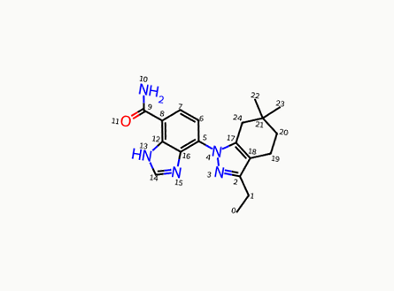 CCc1nn(-c2ccc(C(N)=O)c3[nH]cnc23)c2c1CCC(C)(C)C2